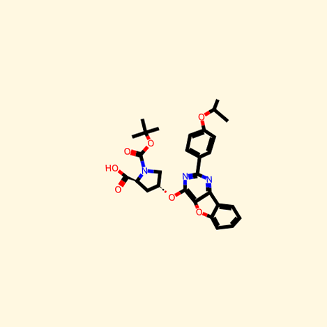 CC(C)Oc1ccc(-c2nc(O[C@@H]3C[C@@H](C(=O)O)N(C(=O)OC(C)(C)C)C3)c3oc4ccccc4c3n2)cc1